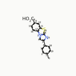 Cc1ccc(-c2cn3c(n2)sc2cc(C(=O)O)ccc23)cc1